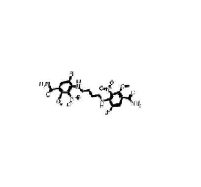 COc1c(C(N)=O)cc(Br)c(NCCCCNc2c(Br)cc(C(N)=O)c(OC)c2[N+](=O)[O-])c1[N+](=O)[O-]